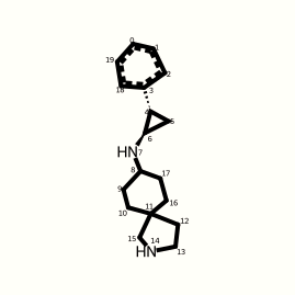 c1ccc([C@@H]2C[C@H]2NC2CCC3(CCNC3)CC2)cc1